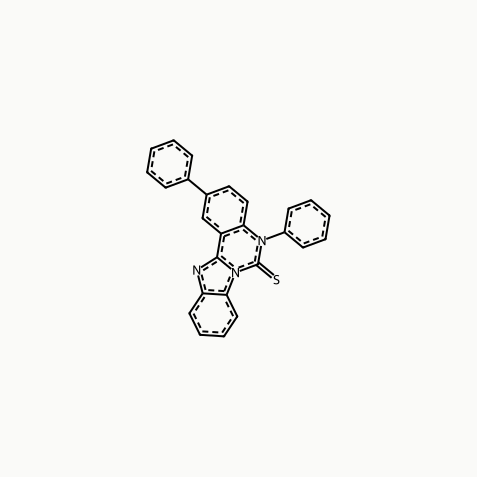 S=c1n(-c2ccccc2)c2ccc(-c3ccccc3)cc2c2nc3ccccc3n12